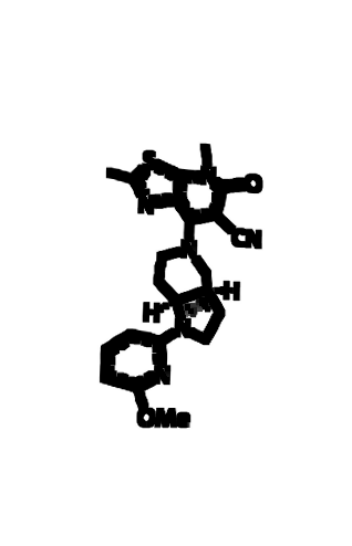 COc1cccc(N2CC[C@@H]3CN(c4c(C#N)c(=O)n(C)c5sc(C)nc45)CC[C@@H]32)n1